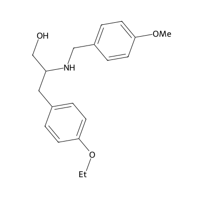 CCOc1ccc(CC(CO)NCc2ccc(OC)cc2)cc1